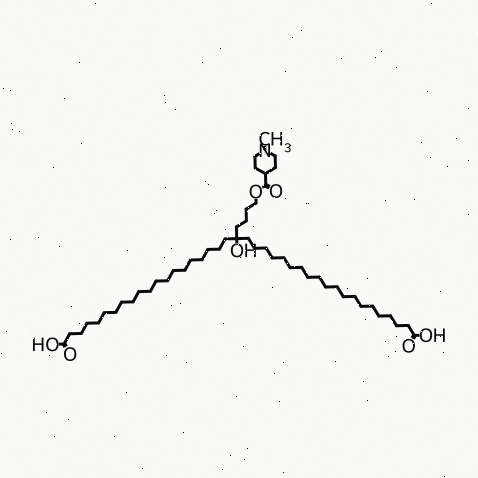 CN1CCC(C(=O)OCCCCC(O)(CCCCCCCCCCCCCCCCCCCC(=O)O)CCCCCCCCCCCCCCCCCCCC(=O)O)CC1